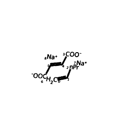 C=CCCC.O=C([O-])C=CC(=O)[O-].[Na+].[Na+]